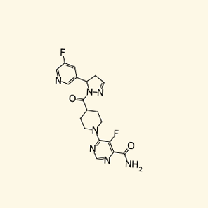 NC(=O)c1ncnc(N2CCC(C(=O)N3N=CCC3c3cncc(F)c3)CC2)c1F